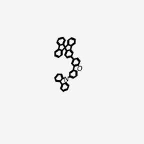 c1ccc2c(c1)-c1ccccc1C21c2ccccc2-c2cc(-c3ccc4oc5ccc(-n6c7ccccc7c7ccccc76)cc5c4c3)ccc21